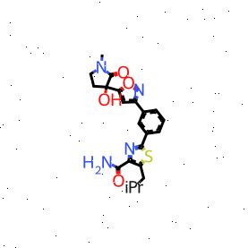 CC(C)Cc1sc(-c2cccc(-c3cc(C4(O)CCN(C)C4=O)on3)c2)nc1C(N)=O